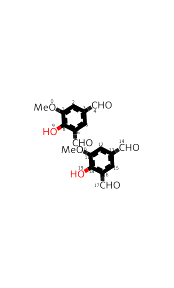 COc1cc(C=O)cc(C=O)c1O.COc1cc(C=O)cc(C=O)c1O